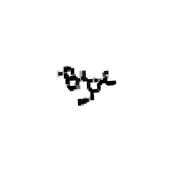 C=CC(=O)N1C[C@@H](CC#N)C[C@@H](Nc2ncnc3[nH]ccc23)C1